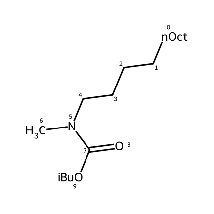 CCCCCCCCCCCCN(C)C(=O)OCC(C)C